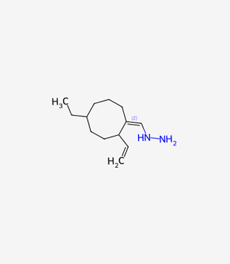 C=CC1CCC(CC)CCC/C1=C/NN